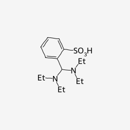 CCN(CC)C(c1ccccc1S(=O)(=O)O)N(CC)CC